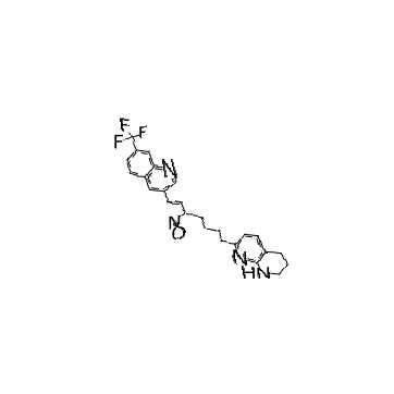 O=NC(/C=C/c1cnc2cc(C(F)(F)F)ccc2c1)CCCCc1ccc2c(n1)NCCC2